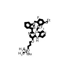 CCOc1cc(F)c(Cn2nc(-c3ncc(OCCCO[Si](C)(C)C(C)(C)C)c(Nc4ccncc4OCC(F)(F)F)n3)c3ccccc32)c(F)c1